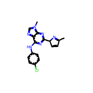 CC1=NC(c2nc(Nc3ccc(Cl)cc3)c3ncn(C)c3n2)C=C1